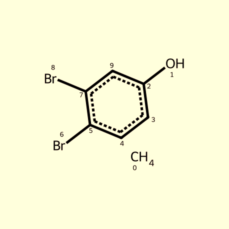 C.Oc1ccc(Br)c(Br)c1